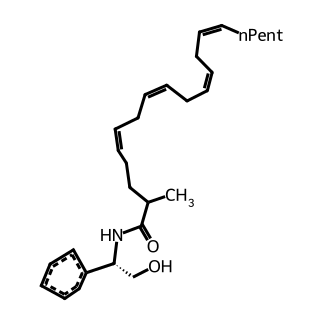 CCCCC/C=C\C/C=C\C/C=C\C/C=C\CCC(C)C(=O)N[C@H](CO)c1ccccc1